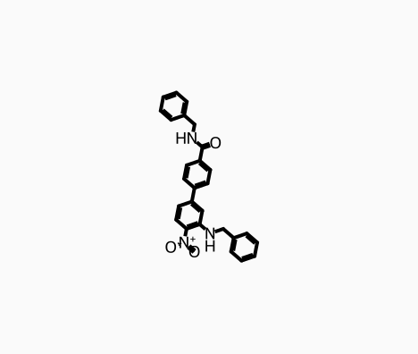 O=C(NCc1ccccc1)c1ccc(-c2ccc([N+](=O)[O-])c(NCc3ccccc3)c2)cc1